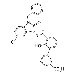 O=C(O)c1cccc(-c2cccc(N/N=C3\C(=O)N(Cc4ccccc4)c4ccc(Cl)cc43)c2O)c1